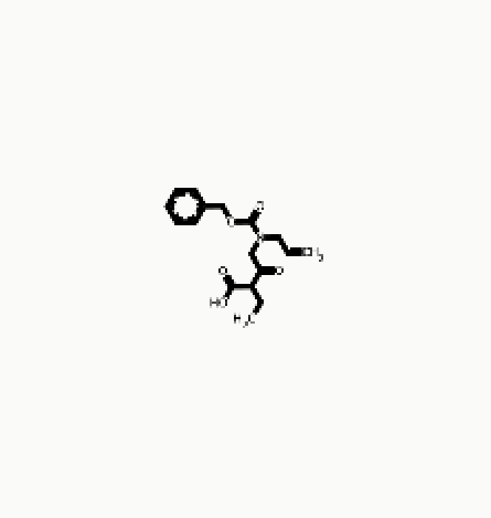 C=CCN(CC(=O)C(CC)C(=O)O)C(=O)OCc1ccccc1